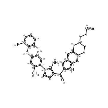 COCCN1CCc2cc3[nH]c(C(=O)c4cnn(-c5cnc(Oc6c(F)cccc6F)cc5C)c4N)cc3cc2C1